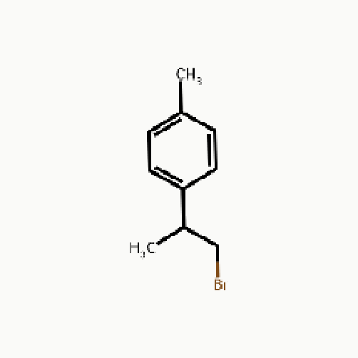 Cc1ccc(C(C)CBr)cc1